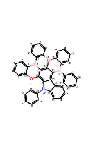 c1ccc(B2c3ccccc3Oc3c2c2c(c4c5ccccc5n(-c5ccccc5)c34)B(c3ccccc3)c3ccccc3O2)cc1